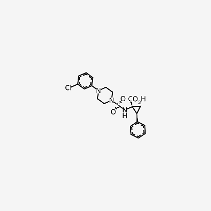 O=C(O)[C@@]1(NS(=O)(=O)N2CCN(c3cccc(Cl)c3)CC2)C[C@H]1c1ccccc1